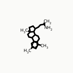 C=C(N)CCC1CCC2(C)CCC3c4cc(C)cc(C)c4CCC3C12